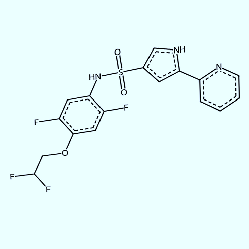 O=S(=O)(Nc1cc(F)c(OCC(F)F)cc1F)c1c[nH]c(-c2ccccn2)c1